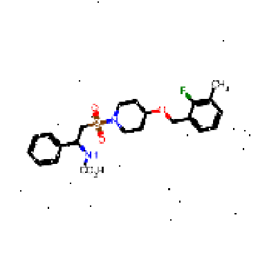 Cc1cccc(COC2CCN(S(=O)(=O)CC(NC(=O)O)c3ccccc3)CC2)c1F